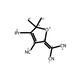 CC(C)C1=C(C#N)C(=C(C#N)C#N)OC1(C)C